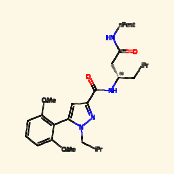 CCCCCNC(=O)C[C@H](CC(C)C)NC(=O)c1cc(-c2c(OC)cccc2OC)n(CC(C)C)n1